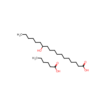 CCCCCC(=O)O.CCCCCCC(O)CCCCCCCCCCC(=O)O